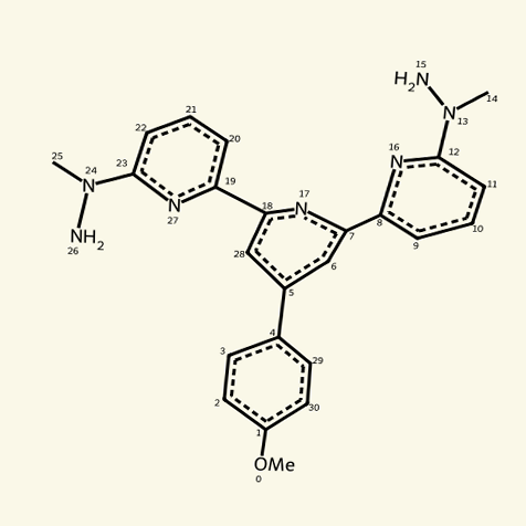 COc1ccc(-c2cc(-c3cccc(N(C)N)n3)nc(-c3cccc(N(C)N)n3)c2)cc1